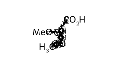 COCCCOc1cc(CCCCC(=O)O)ccc1-c1ccc(C(=O)N2CCN(C)CC2)cc1